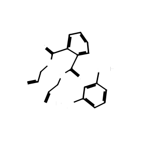 C=CCOC(=O)c1ccccc1C(=O)OCC=C.O=C(O)c1cccc(C(=O)O)c1